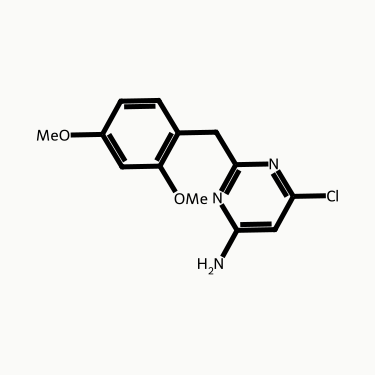 COc1ccc(Cc2nc(N)cc(Cl)n2)c(OC)c1